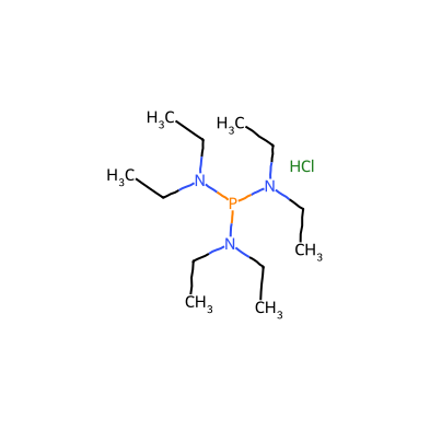 CCN(CC)P(N(CC)CC)N(CC)CC.Cl